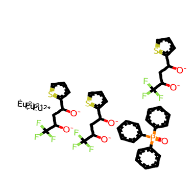 O=P(c1ccccc1)(c1ccccc1)c1ccccc1.[Eu+2].[Eu+2].[Eu+2].[O-]C(CC([O-])C(F)(F)F)c1cccs1.[O-]C(CC([O-])C(F)(F)F)c1cccs1.[O-]C(CC([O-])C(F)(F)F)c1cccs1